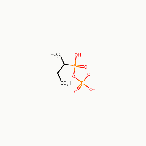 O=C(O)CC(C(=O)O)P(=O)(O)OP(=O)(O)O